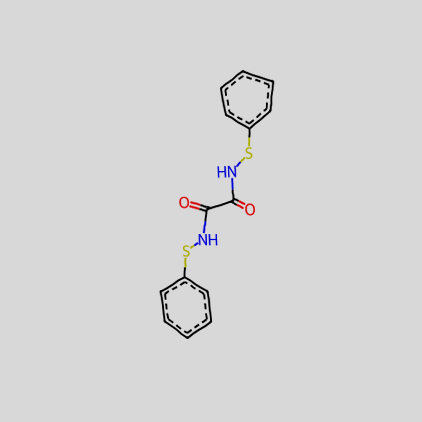 O=C(NSc1ccccc1)C(=O)NSc1ccccc1